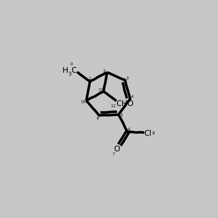 CC1C2C=CC(C(=O)Cl)=CC1C2C=O